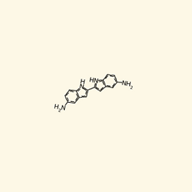 Nc1ccc2[nH]c(-c3cc4cc(N)ccc4[nH]3)cc2c1